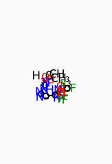 CC(C)(C)OC(=O)N1CCN(c2ncnc3ccc(-c4cnc(OC(F)(F)F)c(NS(=O)(=O)c5ccc(F)cc5F)c4)cc23)CC1